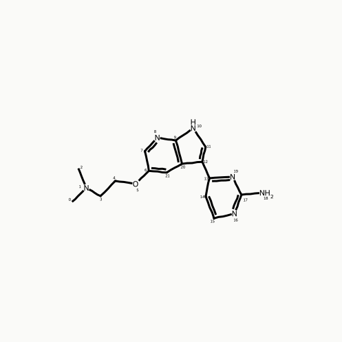 CN(C)CCOc1cnc2[nH]cc(-c3ccnc(N)n3)c2c1